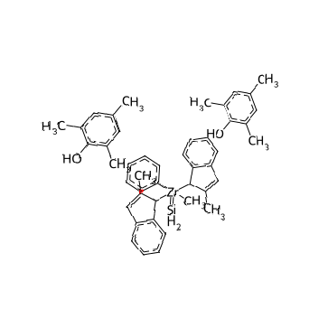 CC1=Cc2ccccc2[CH]1[Zr]([CH3])(=[SiH2])([c]1ccccc1)[CH]1C(C)=Cc2ccccc21.Cc1cc(C)c(O)c(C)c1.Cc1cc(C)c(O)c(C)c1